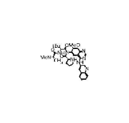 CN[C@@H](C)C(=O)N[C@H](C(=O)N(C(=O)[C@@H]1CCCN1)c1cc2c(Nc3cnc4ccccc4c3)ncnc2cc1OC)C(C)(C)C